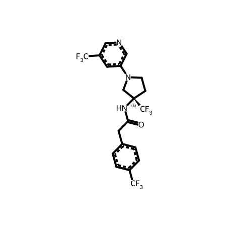 O=C(Cc1ccc(C(F)(F)F)cc1)N[C@@]1(C(F)(F)F)CCN(c2cncc(C(F)(F)F)c2)C1